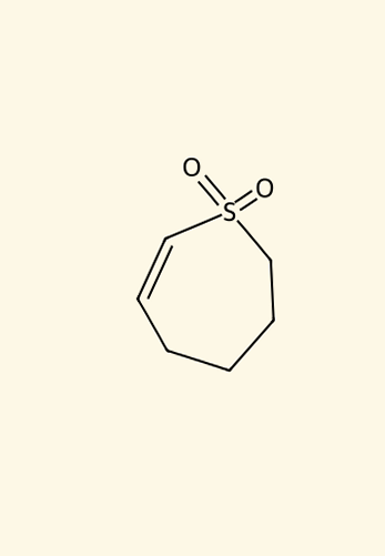 O=S1(=O)C=CCCCC1